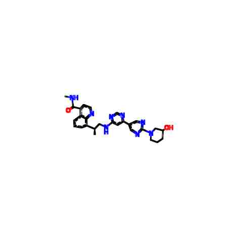 CNC(=O)c1ccnc2c([C@H](C)CNc3cc(-c4cnc(N5CCCC(O)C5)nc4)ncn3)cccc12